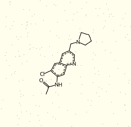 CC(=O)Nc1cc2ncc(CN3CCCC3)cc2cc1Cl